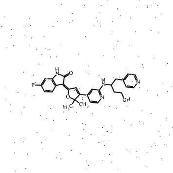 CC1(C)O/C(=C2/C(=O)Nc3cc(F)ccc32)C=C1c1ccnc(NC(CCO)Cc2ccncc2)c1